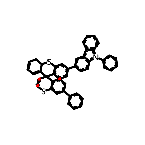 C1=CCC2Sc3cc(-c4ccc5c(c4)c4ccccc4n5-c4ccccc4)ccc3C3(C2=C1)c1ccccc1Sc1cc(-c2ccccc2)ccc13